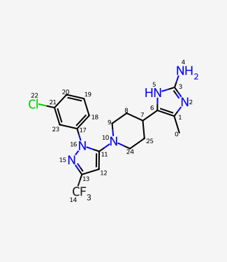 Cc1nc(N)[nH]c1C1CCN(c2cc(C(F)(F)F)nn2-c2cccc(Cl)c2)CC1